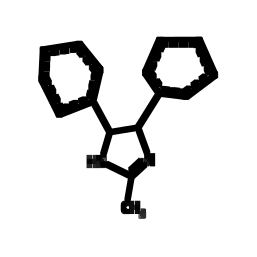 CC1=NC(c2ccccc2)C(c2ccccc2)N1